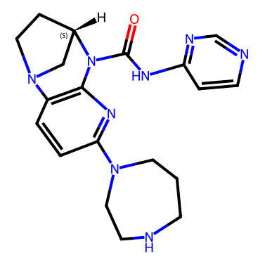 O=C(Nc1ccncn1)N1c2nc(N3CCCNCC3)ccc2N2CC[C@H]1C2